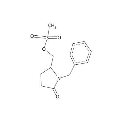 CS(=O)(=O)OCC1CCC(=O)N1Cc1ccccc1